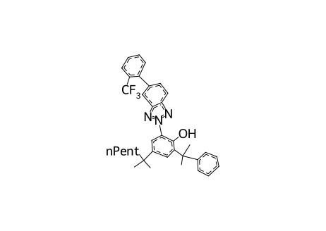 CCCCCC(C)(C)c1cc(-n2nc3ccc(-c4ccccc4C(F)(F)F)cc3n2)c(O)c(C(C)(C)c2ccccc2)c1